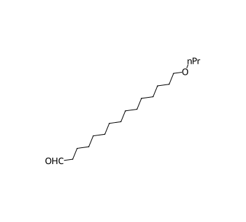 CCCOCCCCCCCCCCCCCCC=O